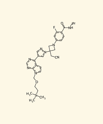 CC(C)NC(=O)c1ccc(N2CC(CC#N)(n3cc(-c4ncnc5c4ccn5COCC[Si](C)(C)C)cn3)C2)cc1F